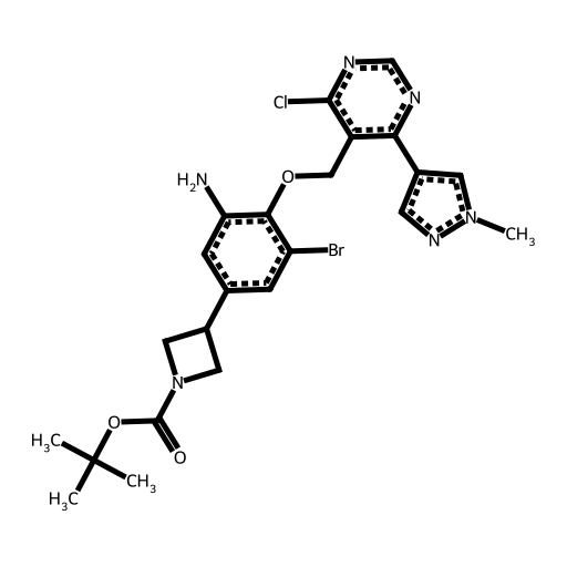 Cn1cc(-c2ncnc(Cl)c2COc2c(N)cc(C3CN(C(=O)OC(C)(C)C)C3)cc2Br)cn1